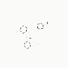 O=C(O)c1ccc(COc2ccc(Cl)cc2NS(=O)(=O)c2ccccc2CCO)cc1